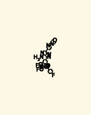 C[C@H](Oc1cc(-c2nn(C)c3c(-c4ccc(N5CCOCC5)nc4)cnc(N)c23)ccc1NS(=O)(=O)C(F)F)c1ccc(F)cc1